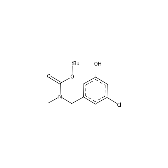 CN(Cc1cc(O)cc(Cl)c1)C(=O)OC(C)(C)C